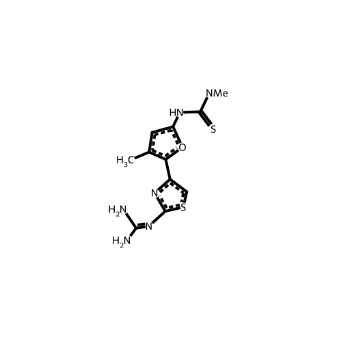 CNC(=S)Nc1cc(C)c(-c2csc(N=C(N)N)n2)o1